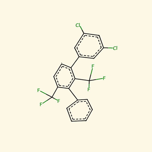 FC(F)(F)c1c[c]c(-c2cc(Cl)cc(Cl)c2)c(C(F)(F)F)c1-c1ccccc1